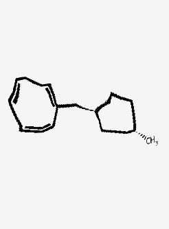 C[C@H]1CC[C@H](c2ccccc2)C1